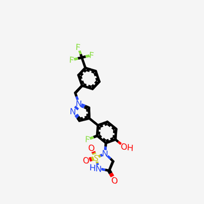 O=C1CN(c2c(O)ccc(-c3cnn(Cc4cccc(C(F)(F)F)c4)c3)c2F)S(=O)(=O)N1